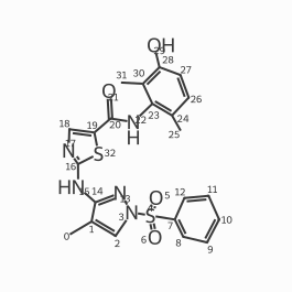 Cc1cn(S(=O)(=O)c2ccccc2)nc1Nc1ncc(C(=O)Nc2c(C)ccc(O)c2C)s1